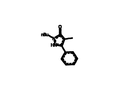 CCCCn1[nH]c(-c2ccccc2)c(C)c1=O